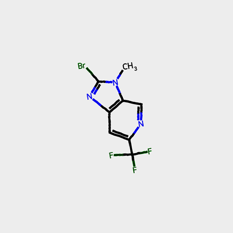 Cn1c(Br)nc2cc(C(F)(F)F)ncc21